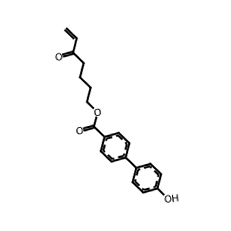 C=CC(=O)CCCCOC(=O)c1ccc(-c2ccc(O)cc2)cc1